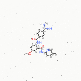 COc1ccc(NC(=O)c2ccc(C(=N)N(C)C)cc2)c(C(=O)Nc2ccc(C)cn2)c1